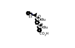 CC/C(=C\c1ccccc1)C1CC1N(CC1CCC(N(Cc2ccc(C(=O)O)cc2)C(=O)OC(C)(C)C)CC1)C(=O)OC(C)(C)C